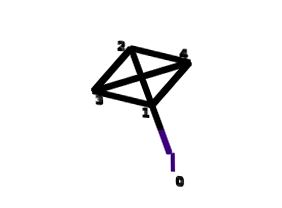 IC12C3C1C32